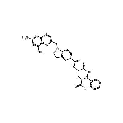 Nc1nc(N)c2nc(CN3CCc4cc(C(=O)N[C@@H](CC(Nc5ccccc5)C(=O)O)C(=O)O)ccc43)cnc2n1